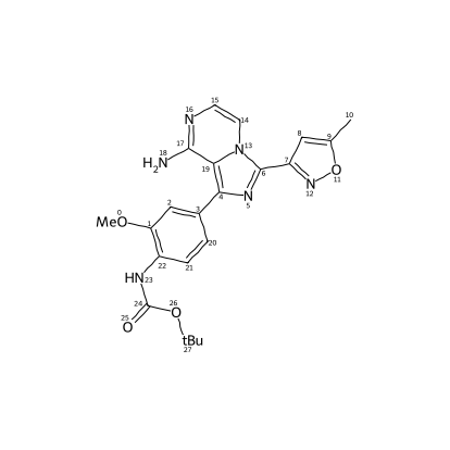 COc1cc(-c2nc(-c3cc(C)on3)n3ccnc(N)c23)ccc1NC(=O)OC(C)(C)C